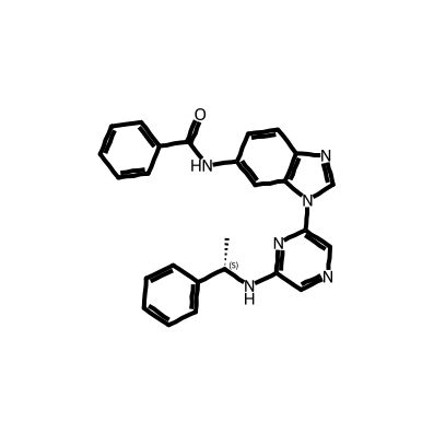 C[C@H](Nc1cncc(-n2cnc3ccc(NC(=O)c4ccccc4)cc32)n1)c1ccccc1